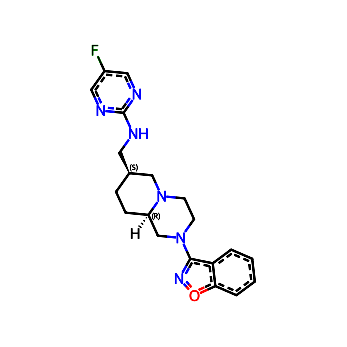 Fc1cnc(NC[C@@H]2CC[C@@H]3CN(c4noc5ccccc45)CCN3C2)nc1